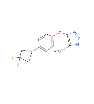 O=C(O)c1[nH]nnc1Oc1ccc(C2CC(F)(F)C2)cc1